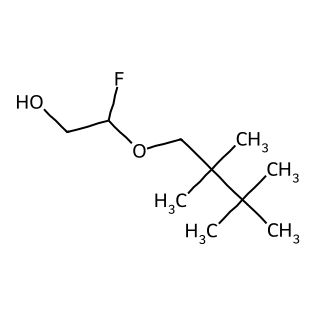 CC(C)(C)C(C)(C)COC(F)CO